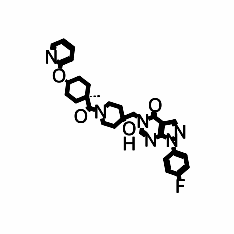 C[C@]1(C(=O)N2CCC(O)(Cn3cnc4c(cnn4-c4ccc(F)cc4)c3=O)CC2)CC[C@@H](Oc2ccccn2)CC1